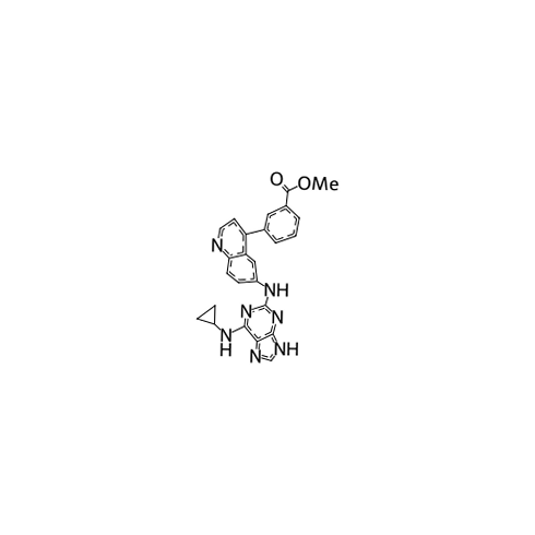 COC(=O)c1cccc(-c2ccnc3ccc(Nc4nc(NC5CC5)c5nc[nH]c5n4)cc23)c1